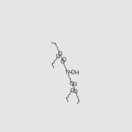 CC/C=C\CCCCCOC(CCC(=O)OCCCCCCN(CCO)CCCCCCOC(=O)CCC(OCCCCC/C=C\CC)OCCCCC/C=C\CC)OCCCCC/C=C\CC